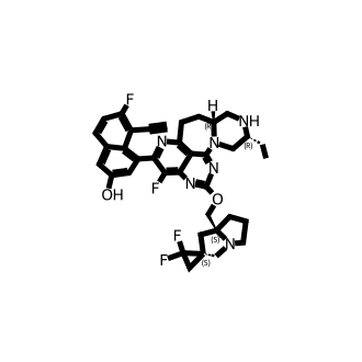 C#Cc1c(F)ccc2cc(O)cc(-c3nc4c5c(nc(OC[C@@]67CCCN6C[C@@]6(CC6(F)F)C7)nc5c3F)N3C[C@@H](CC)NC[C@H]3CC4)c12